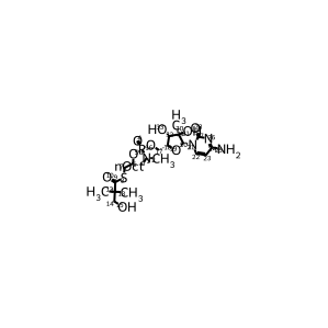 CCCCCCCCN(C)P(=O)(OCCSC(=O)C(C)(C)CO)OC[C@H]1O[C@@H](n2ccc(N)nc2=O)[C@](C)(O)[C@@H]1O